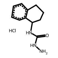 Cl.NNC(=O)NC1CCCc2ccccc21